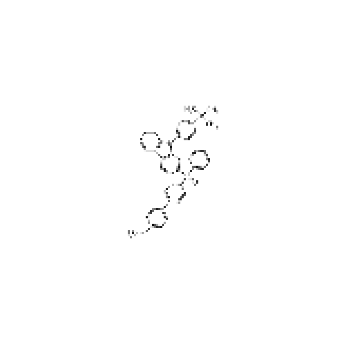 C=Cc1ccc(-c2ccc(P(=O)(c3ccccc3)c3ccc4c5c(n(-c6ccc(C(C)(C)C)cc6)c4c3)CCC=C5)cc2)cc1